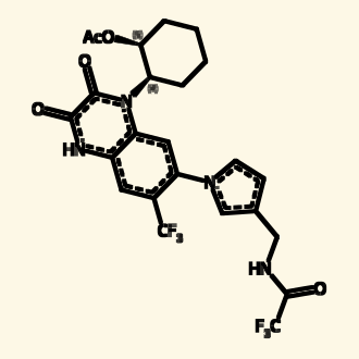 CC(=O)O[C@H]1CCCC[C@H]1n1c(=O)c(=O)[nH]c2cc(C(F)(F)F)c(-n3ccc(CNC(=O)C(F)(F)F)c3)cc21